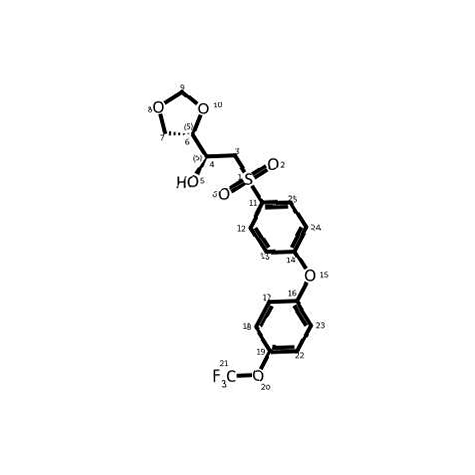 O=S(=O)(C[C@@H](O)[C@@H]1COCO1)c1ccc(Oc2ccc(OC(F)(F)F)cc2)cc1